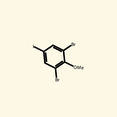 COc1c(Br)cc(I)cc1Br